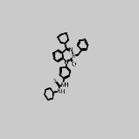 O=C1N(Cc2ccccc2)N=C(C2CCCCC2)c2ccccc2N1c1ccc(NC(=S)NC2CCCCC2)cc1